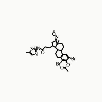 CON=C1CC(CCC(=O)Nc2ncc(C)s2)C2C3CCc4c(cc(Br)c(OC(C)=O)c4Br)C3CCC12C